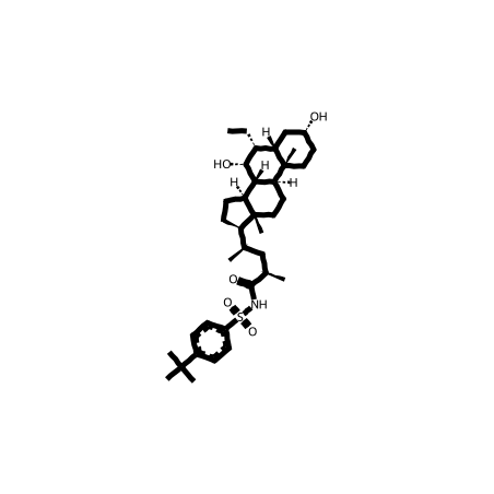 CC[C@H]1[C@@H](O)[C@@H]2[C@H](CC[C@]3(C)[C@@H]([C@H](C)C[C@@H](C)C(=O)NS(=O)(=O)c4ccc(C(C)(C)C)cc4)CC[C@@H]23)[C@@]2(C)CC[C@@H](O)C[C@@H]12